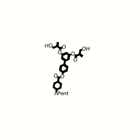 C=C(CO)C(=O)Oc1cc(OC(=O)C(=C)CO)cc(-c2ccc(OC(=O)C3CCC(CCCCC)CC3)cc2)c1